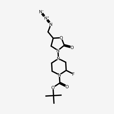 CC(C)(C)OC(=O)N1CCN(N2CC(CN=[N+]=[N-])OC2=O)CC1F